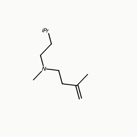 C=C(C)CCN(C)CCC(C)C